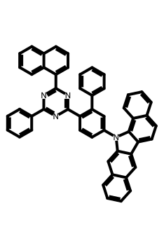 c1ccc(-c2nc(-c3ccc(-n4c5cc6ccccc6cc5c5ccc6ccccc6c54)cc3-c3ccccc3)nc(-c3cccc4ccccc34)n2)cc1